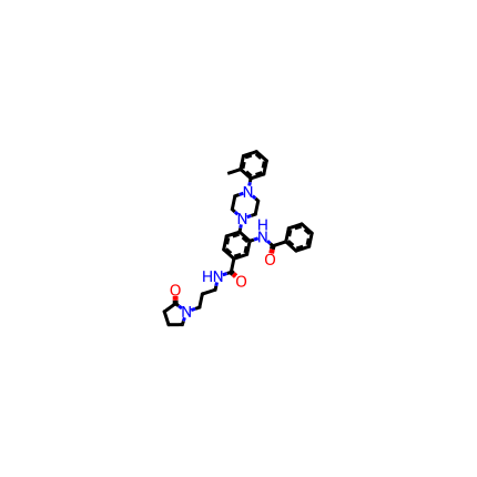 Cc1ccccc1N1CCN(c2ccc(C(=O)NCCCN3CCCC3=O)cc2NC(=O)c2ccccc2)CC1